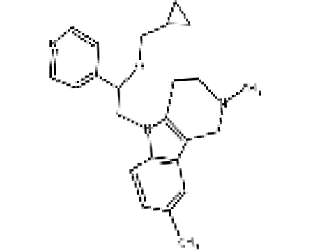 Cc1ccc2c(c1)c1c(n2CC(OCC2CC2)c2ccncc2)CCN(C)C1